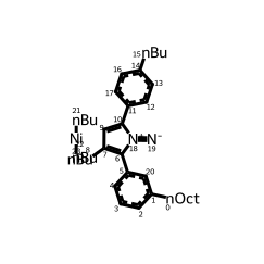 CCCCCCCCc1cccc(C2=C(CCCC)C=C(c3ccc(CCCC)cc3)[N+]2=[N-])c1.CCC[CH2][Ni][CH2]CCC